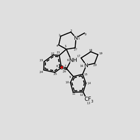 CN1CCCC(NC(=O)c2ccc(C(F)(F)F)cc2N2CCCC2)(c2ccccc2)C1